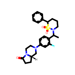 CC(c1ccc(N2CCN3C(=O)CC[C@H]3C2)cc1F)N1CCCC(c2ccccc2)S1(=O)=O